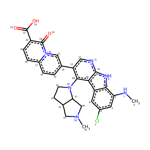 CNc1cc(Cl)cc2c1[nH]c1ncc(-c3ccc4ccc(C(=O)O)c(=O)n4c3)c(N3CCC4CN(C)CC43)c12